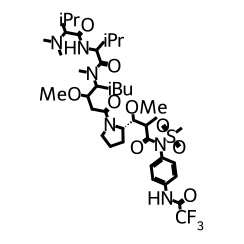 CCC(C)C(C(CC(=O)N1CCC[C@H]1C(OC)C(C)C(=O)N(c1ccc(NC(=O)C(F)(F)F)cc1)S(C)(=O)=O)OC)N(C)C(=O)C(NC(=O)C(C(C)C)N(C)C)C(C)C